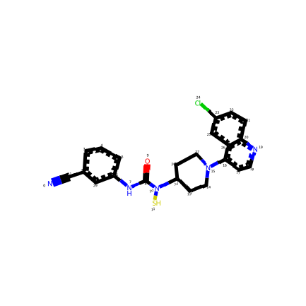 N#Cc1cccc(NC(=O)N(S)C2CCN(c3ccnc4ccc(Cl)cc34)CC2)c1